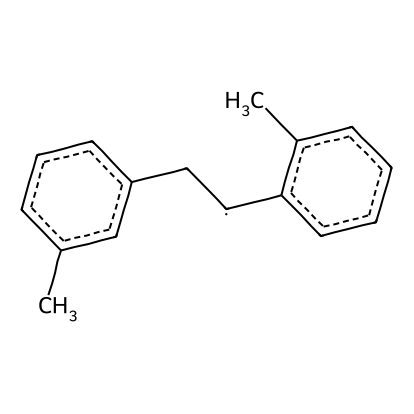 Cc1cccc(C[CH]c2ccccc2C)c1